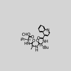 CC(C)[C@H](NC(=O)[C@H](C)NC(=O)[C@@H](NC(=O)c1ccnc2ccccc12)C(C)(C)C)C(=O)C=O